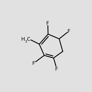 CC1=C(F)C(F)CC(F)=C1F